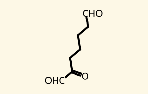 O=CCCCCC(=O)C=O